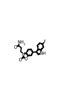 NC(=O)CCn1c(=O)oc2cc(-c3c[nH]c4cc(F)ccc34)ccc21